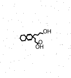 O=C(O)CCC1(CCCCO)C=CC2(C=C1)CCCCC2